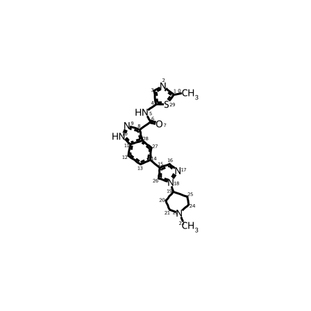 Cc1ncc(NC(=O)c2n[nH]c3ccc(-c4cnn(C5CCN(C)CC5)c4)cc23)s1